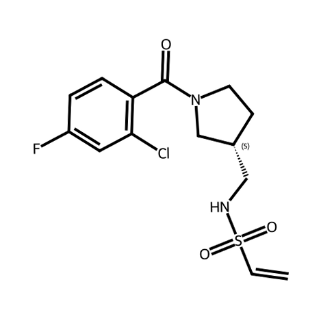 C=CS(=O)(=O)NC[C@H]1CCN(C(=O)c2ccc(F)cc2Cl)C1